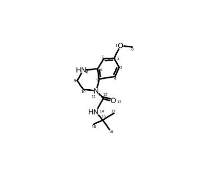 COc1ccc2c(c1)NCCN2C(=O)NC(C)(C)C